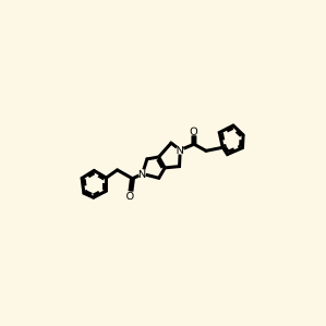 O=C(Cc1ccccc1)N1CC2=C(C1)CN(C(=O)Cc1ccccc1)C2